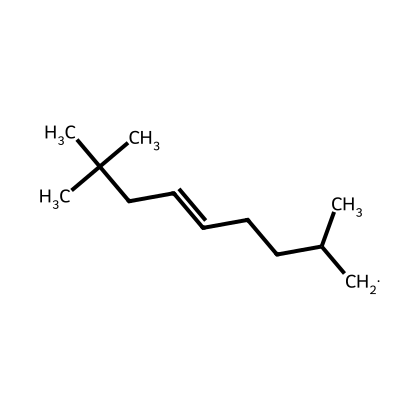 [CH2]C(C)CC/C=C/CC(C)(C)C